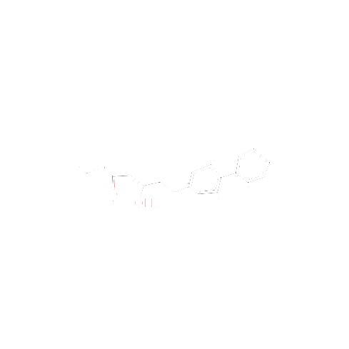 CCOC(=O)/C=C(\O)CCc1ccc(-c2ccccc2)cc1